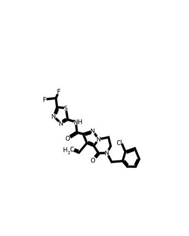 C=Cc1c(C(=O)Nc2nnc(C(F)F)s2)nn2c1C(=O)N(Cc1ccccc1Cl)CC2